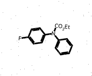 [CH2]COC(=O)N(c1ccccc1)c1ccc(F)cc1